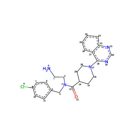 NCCN(Cc1ccc(Cl)cc1)C(=O)C1CCN(c2ncnc3ccccc23)CC1